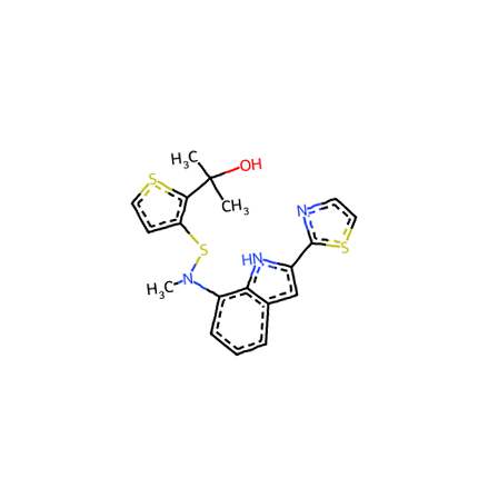 CN(Sc1ccsc1C(C)(C)O)c1cccc2cc(-c3nccs3)[nH]c12